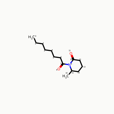 CCCCCCCC(=O)N1C(=O)CCCC1C